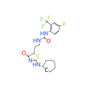 O=C(NCCC1SC(NC2CCCCCC2)=NC1=O)Nc1ccc(F)cc1C(F)(F)F